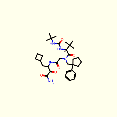 CC(C)(C)NC(=O)N[C@H](C(=O)N(CC(=O)NC(CC1CCC1)C(=O)C(N)=O)CC1(c2ccccc2)CCCC1)C(C)(C)C